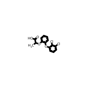 CC(Oc1ccccc1Oc1cccc(Cl)c1Cl)C(=O)O